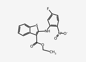 CCOC(=O)c1c(Nc2cc(F)ccc2[N+](=O)[O-])sc2ccccc12